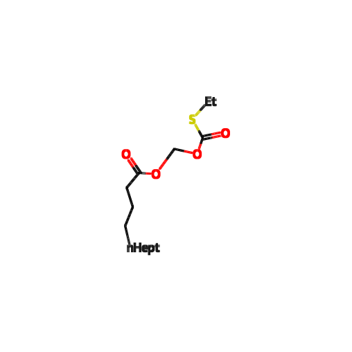 CCCCCCCCCCC(=O)OCOC(=O)SCC